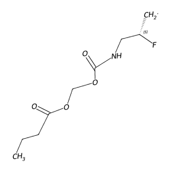 [CH2][C@H](F)CNC(=O)OCOC(=O)CCC